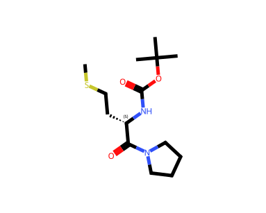 CSCC[C@H](NC(=O)OC(C)(C)C)C(=O)N1CCCC1